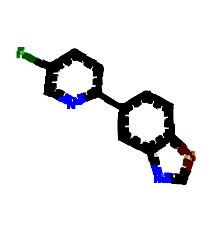 Fc1ccc(-c2ccc3scnc3c2)nc1